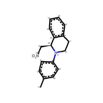 Cc1ccc(N2CCc3ccccc3[C@@H]2C[N+](=O)[O-])cc1